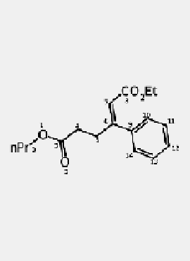 CCCOC(=O)CC/C(=C/C(=O)OCC)c1ccccc1